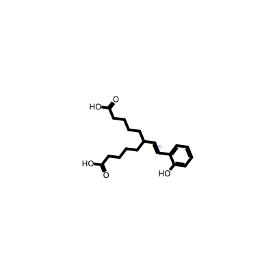 O=C(O)CCCCC(/C=C/c1ccccc1O)CCCCC(=O)O